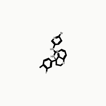 Cc1ccc([C@@]2(NC(=O)Nc3ccc(Br)nc3)CCOc3cccnc32)cc1F